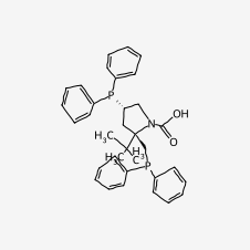 CC(C)(C)[C@]1(CP(c2ccccc2)c2ccccc2)C[C@H](P(c2ccccc2)c2ccccc2)CN1C(=O)O